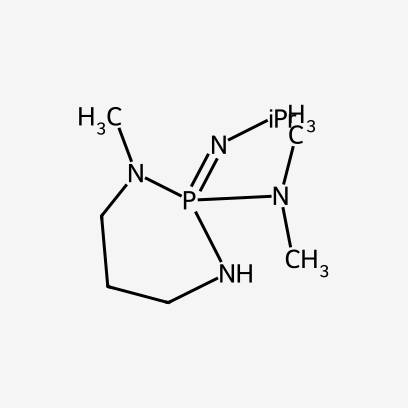 CC(C)N=P1(N(C)C)NCCCN1C